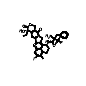 CC[C@@]1(O)C(=O)OCc2c1cc1n(c2=O)Cc2c-1nc1cc(F)c(C)c3c1c2[C@@H](NC(=O)C(N)(Cc1ccccc1)C(F)(F)F)CC3